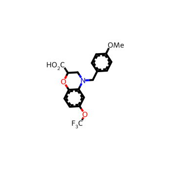 COc1ccc(CN2CC(C(=O)O)Oc3ccc(OC(F)(F)F)cc32)cc1